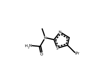 CC(C)c1cnc(N(C)C(N)=O)s1